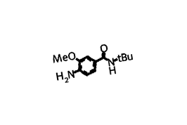 COc1cc(C(=O)NC(C)(C)C)ccc1N